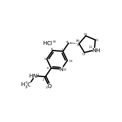 CNC(=O)c1ccc(C[C@@H]2CCNC2)cn1.Cl